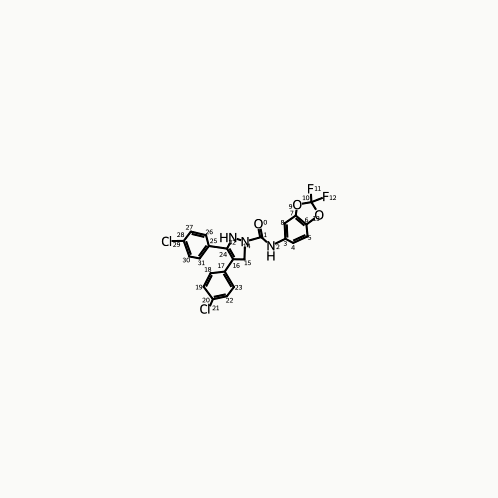 O=C(Nc1ccc2c(c1)OC(F)(F)O2)N1CC(c2ccc(Cl)cc2)=C(c2ccc(Cl)cc2)N1